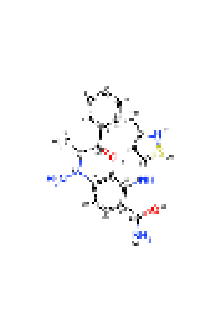 Cc1cc(Nc2cc(N(N)C(C)C(=O)c3ccccc3)ccc2C(N)=O)sn1